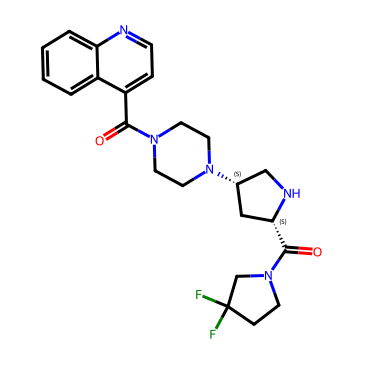 O=C(c1ccnc2ccccc12)N1CCN([C@@H]2CN[C@H](C(=O)N3CCC(F)(F)C3)C2)CC1